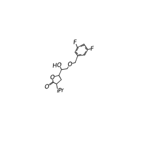 CC(C)C1CC(C(O)COCc2cc(F)cc(F)c2)OC1=O